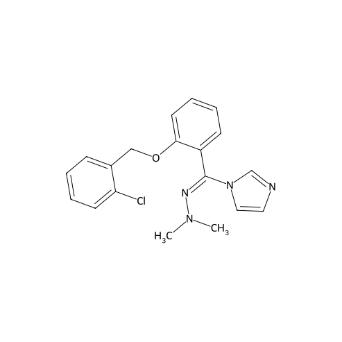 CN(C)N=C(c1ccccc1OCc1ccccc1Cl)n1ccnc1